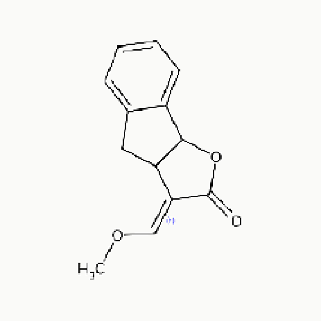 CO/C=C1/C(=O)OC2c3ccccc3CC12